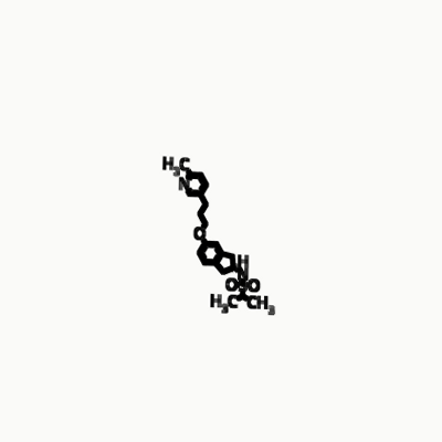 Cc1ccc(CCCOc2ccc3c(c2)C[C@@H](NS(=O)(=O)C(C)C)C3)cn1